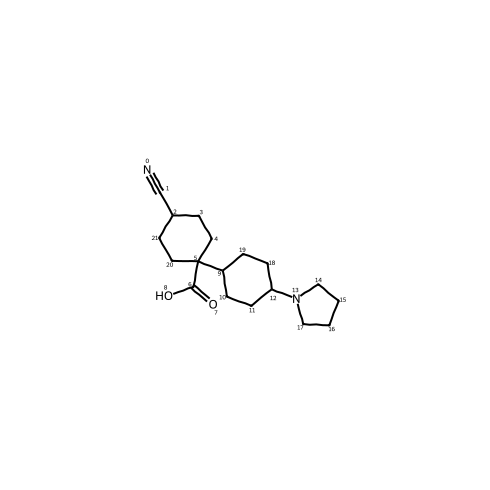 N#CC1CCC(C(=O)O)(C2CCC(N3CCCC3)CC2)CC1